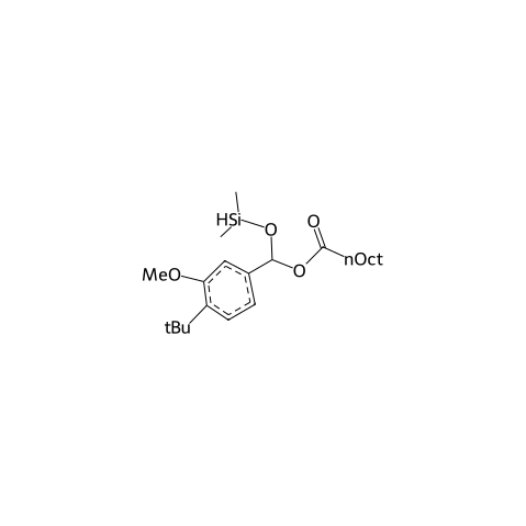 CCCCCCCCC(=O)OC(O[SiH](C)C)c1ccc(C(C)(C)C)c(OC)c1